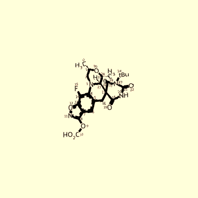 C[C@H]1CN2c3c(cc4c(OC(=O)O)noc4c3F)CC3(C(=O)NC(=O)N(C(C)(C)C)C3=O)[C@@H]2[C@@H](C)O1